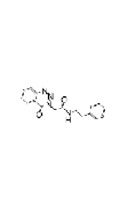 O=C(Cn1nnc2ccccc2c1=O)NCCc1ccccc1